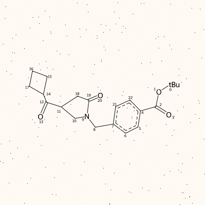 CC(C)(C)OC(=O)c1ccc(CN2CC(C(=O)C3CCC3)CC2=O)cc1